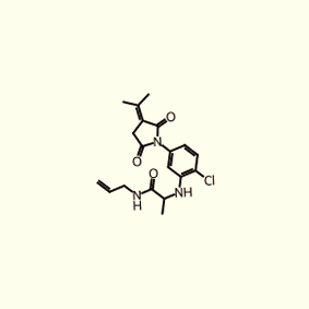 C=CCNC(=O)C(C)Nc1cc(N2C(=O)CC(=C(C)C)C2=O)ccc1Cl